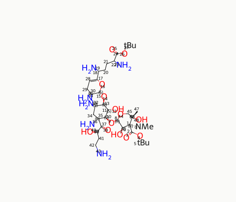 CN[C@]1(C(=O)OC(C)(C)C)[C@@H](O)[C@@H](O[C@@H]2[C@@H](O)[C@H](O[C@H]3OC(C(N)CCC(N)C(=O)OC(C)(C)C)=CC[C@H]3N)[C@@H](N)C[C@]2(N)C(=O)[C@H](O)CCN)OC[C@]1(C)O